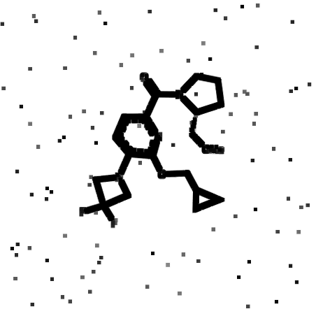 COC[C@H]1CCCN1C(=O)c1ccc(N2CC(F)(F)C2)c(OCC2CC2)n1